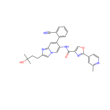 Cc1cc(-c2nc(C(=O)Nc3cn4cc(CCC(C)(C)O)nc4cc3-c3ccccc3C#N)co2)ccn1